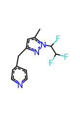 Cc1cc(Cc2ccncc2)nn1C(F)C(F)F